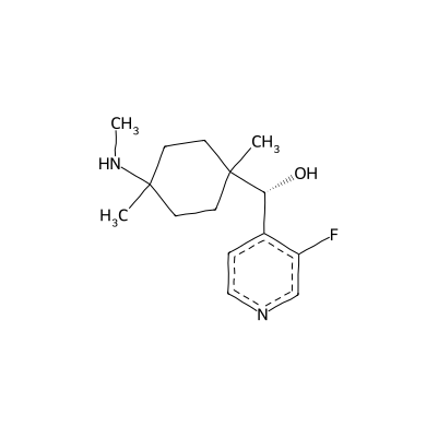 CNC1(C)CCC(C)([C@H](O)c2ccncc2F)CC1